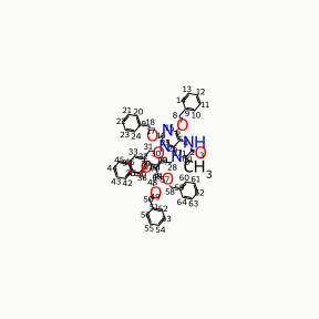 C[C@@H]1C(=O)Nc2c(OCc3ccccc3)nc(OCc3ccccc3)nc2N1C[C@H](OCc1ccccc1)[C@H](OCc1ccccc1)[C@@H](COCc1ccccc1)OCc1ccccc1